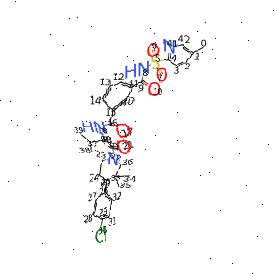 Cc1ccc(S(=O)(=O)NC(=O)c2cccc(C(=O)N[C@@H](C(=O)N3CC[C@H](c4ccc(Cl)cc4)C(C)(C)C3)C(C)C)c2)nc1